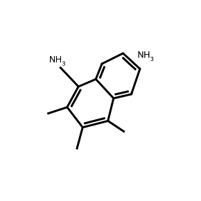 Cc1c(C)c(C)c2ccccc2c1C.N.N